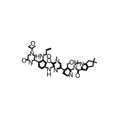 C=CC(=O)Nc1cc(Nc2nc(-c3ccnc(N4CCn5c(cc6c5CC(C)(C)C6)C4=O)c3CO)cn(C)c2=O)ccc1C1CN(C2COC2)CC(=O)N1C